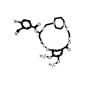 COc1cc2cc(c1OC)OCCCC(OC(=O)c1ccc(Br)c(C#N)c1)CCN1CCCN(CCCOC2=O)CC1